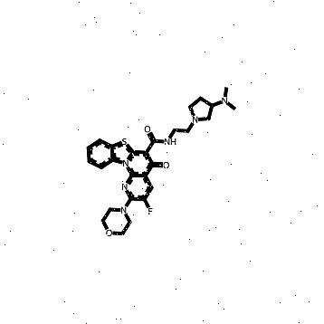 CN(C)C1CCN(CCNC(=O)c2c(=O)c3cc(F)c(N4CCOCC4)nc3n3c2sc2ccccc23)C1